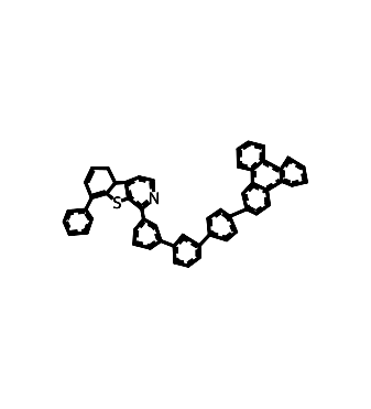 C1=CC(c2ccccc2)=C2Sc3c(ccnc3-c3cccc(-c4cccc(-c5ccc(-c6ccc7c8ccccc8c8ccccc8c7c6)cc5)c4)c3)C2C1